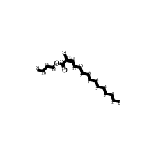 CCCCCCCCCCCCC=C(C)C(=O)OCCCC